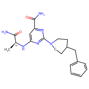 C[C@H](Nc1cc(C(N)=O)nc(N2CCC(Cc3ccccc3)CC2)n1)C(N)=O